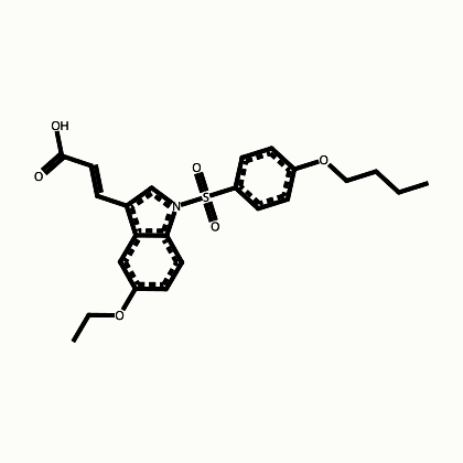 CCCCOc1ccc(S(=O)(=O)n2cc(C=CC(=O)O)c3cc(OCC)ccc32)cc1